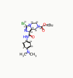 CN(C)c1ccc(NC(=O)c2nc(Br)n3c2CN(C(=O)OC(C)(C)C)CC3)cc1